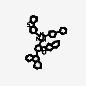 c1ccc(-c2ccc(-c3nc(-c4ccc5sc6ccccc6c5c4)nc(-c4ccc(-c5cc6ccccc6c6ccccc56)c5oc6cc7ccccc7cc6c45)n3)cc2)cc1